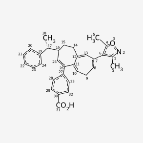 Cc1noc(C)c1C1=CCC=C2C(=C1)CCC([C@@H](C)c1ccccc1)C=C2c1ccc(C(=O)O)cc1